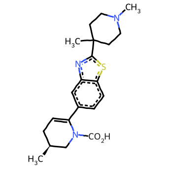 C[C@H]1CC=C(c2ccc3sc(C4(C)CCN(C)CC4)nc3c2)N(C(=O)O)C1